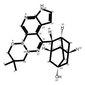 CC1(C)COB2c3cnc4[nH]ccc4c3C([C@H]3[C@@H]4C[C@@H]5C[C@H]3C[C@@](O)(C5)C4)=NN2C1